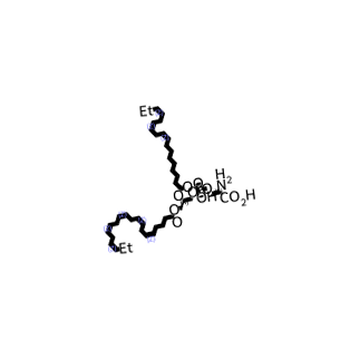 CC/C=C\C/C=C\C/C=C\C/C=C\C/C=C\CCCC(=O)OC[C@H](COP(=O)(O)OC[C@H](N)C(=O)O)OC(=O)CCCCCCC/C=C\C/C=C\C/C=C\CC